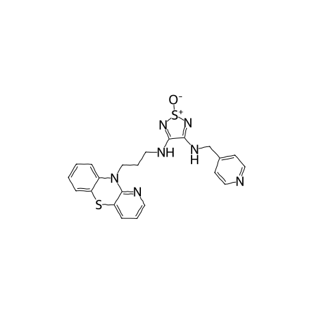 [O-][s+]1nc(NCCCN2c3ccccc3Sc3cccnc32)c(NCc2ccncc2)n1